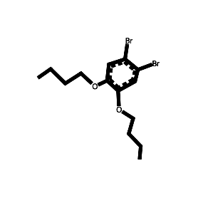 CCCCOc1cc(Br)c(Br)cc1OCCCC